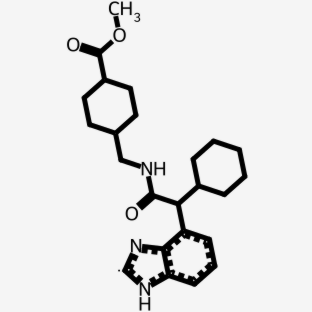 COC(=O)C1CCC(CNC(=O)C(c2cccc3[nH][c]nc23)C2CCCCC2)CC1